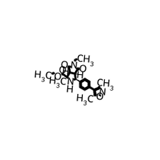 CCOC(=O)[C@]1(C)N[C@H](c2ccc(-c3c(C)noc3C)cc2)[C@@H]2C(=O)N(CC)C(=O)[C@@H]21